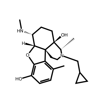 CN[C@@H]1CC[C@]2(O)[C@H](C)N(CC3CC3)CC[C@]23c2c(C)ccc(O)c2O[C@H]13